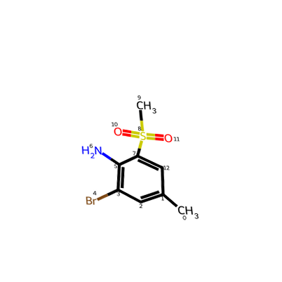 Cc1cc(Br)c(N)c(S(C)(=O)=O)c1